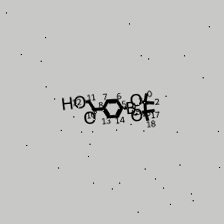 CC1(C)OB(c2ccc(C(=O)CO)cc2)OC1(C)C